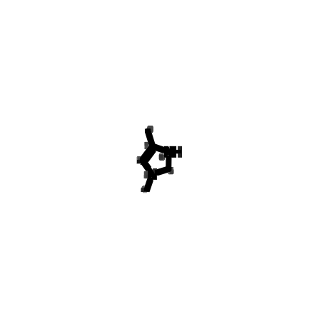 CC1=[C]N(C)CN1